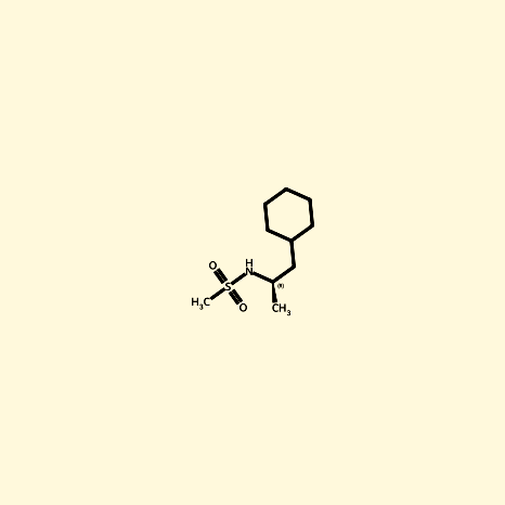 C[C@H](CC1CCCCC1)NS(C)(=O)=O